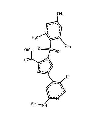 COC(=O)c1cc(-c2cc(NC(C)C)ncc2Cl)cn1S(=O)(=O)c1c(C)cc(C)cc1C